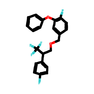 Fc1ccc(C(COCc2ccc(F)c(Oc3ccccc3)c2)C(F)(F)F)cc1